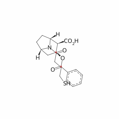 O=C(O[C@H]1C[C@@H]2CC[C@H]([C@H]1C(=O)O)N2C(=O)CCCS)c1ccccc1